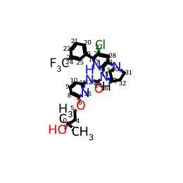 CC(C)(O)CCOc1cccc(NC(=O)N2c3nc(-c4cccc(C(F)(F)F)c4)c(Cl)cc3N3CC[C@H]2C3)n1